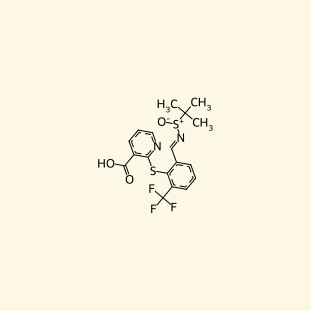 CC(C)(C)[S+]([O-])N=Cc1cccc(C(F)(F)F)c1Sc1ncccc1C(=O)O